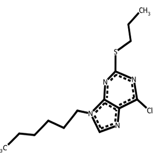 CCCCCCn1cnc2c(Cl)nc(SCCC)nc21